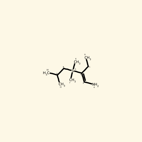 CC/C(=C\N)[Si](C)(C)CC(C)C